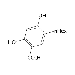 CCCCCCc1cc(C(=O)O)c(O)cc1O